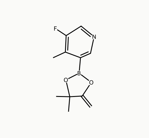 C=C1OB(c2cncc(F)c2C)OC1(C)C